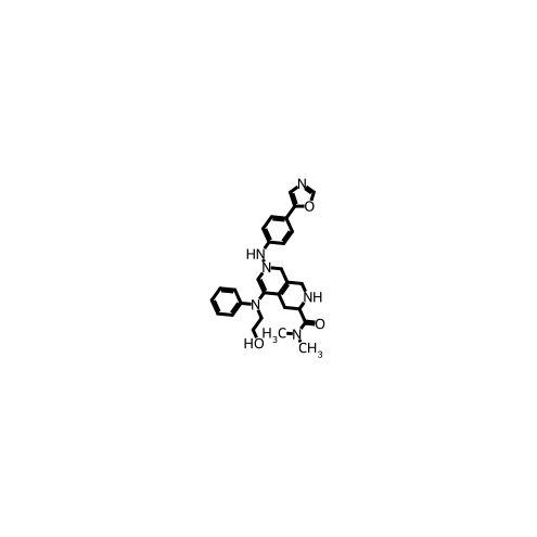 CN(C)C(=O)C1CC2=C(CN1)CN(Nc1ccc(-c3cnco3)cc1)C=C2N(CCO)c1ccccc1